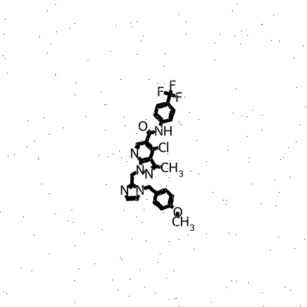 COc1ccc(Cn2ccnc2Cn2nc(C)c3c(Cl)c(C(=O)Nc4ccc(C(F)(F)F)cc4)cnc32)cc1